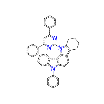 c1ccc(-c2cc(-c3ccccc3)nc(-n3c4c(c5ccc6c(c7ccccc7n6-c6ccccc6)c53)CCCC4)n2)cc1